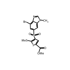 COC(=O)c1cc(S(=O)(=O)c2cc(Br)c3ncn(C)c3c2)c(SC)s1